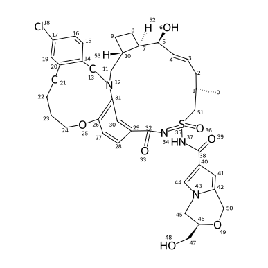 C[C@H]1C/C=C/[C@H](O)[C@@H]2CC[C@H]2CN2Cc3ccc(Cl)cc3CCCCOc3ccc(cc32)C(=O)N=S(=O)(NC(=O)c2cc3n(c2)C[C@H](CO)OC3)C1